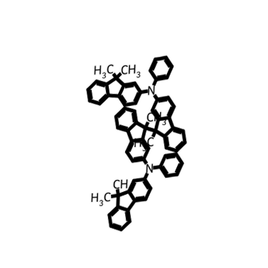 CC1(C)c2ccccc2-c2ccc(N(c3ccccc3)c3ccc4c(c3)C(C)(C3(C)c5ccccc5-c5ccc(N(c6ccccc6)c6ccc7c(c6)C(C)(C)c6ccccc6-7)cc53)c3ccccc3-4)cc21